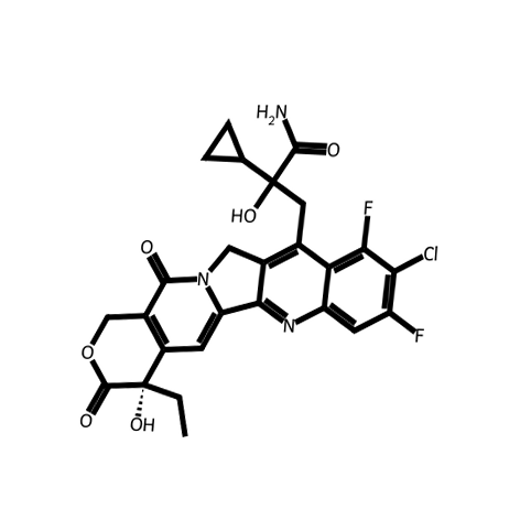 CC[C@@]1(O)C(=O)OCc2c1cc1n(c2=O)Cc2c-1nc1cc(F)c(Cl)c(F)c1c2CC(O)(C(N)=O)C1CC1